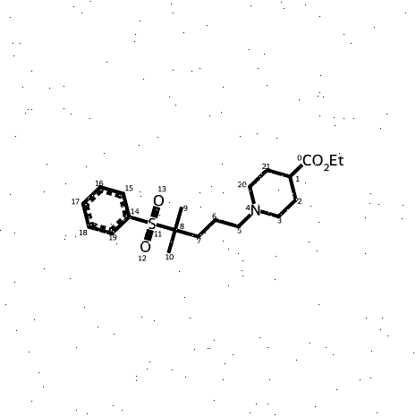 CCOC(=O)C1CCN(CCCC(C)(C)S(=O)(=O)c2ccccc2)CC1